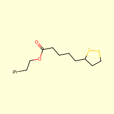 CC(C)CCOC(=O)CCCCC1CCSS1